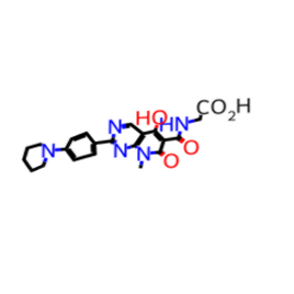 Cn1c(=O)c(C(=O)NCC(=O)O)c(O)c2cnc(-c3ccc(N4CCCCC4)cc3)nc21